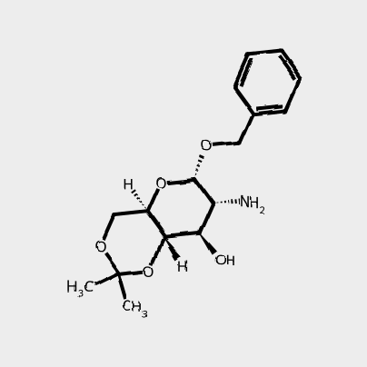 CC1(C)OC[C@H]2O[C@H](OCc3ccccc3)[C@H](N)[C@@H](O)[C@@H]2O1